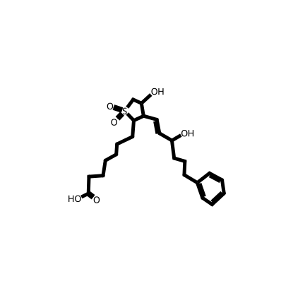 O=C(O)CCCCCCC1C(/C=C/C(O)CCCc2ccccc2)C(O)CS1(=O)=O